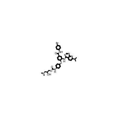 CC(C)c1ccc2c(Nc3cc(C(=O)Nc4ccc(Br)cc4)ccc3Sc3ccc(NC(=O)OCC(O)CN(C)C)cc3)ncnc2n1